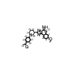 COc1ccc2c(c1)nc(N)n1nc([C@@H]3CCCN(c4ccc(C(C)=O)cc4)C3)nc21